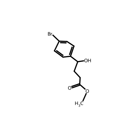 COC(=O)CCC(O)c1ccc(Br)cc1